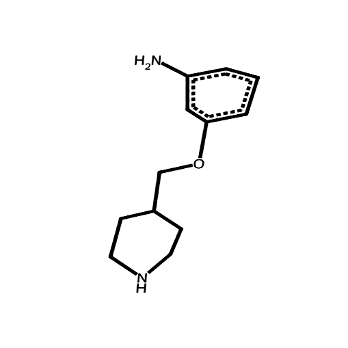 Nc1cccc(OCC2CCNCC2)c1